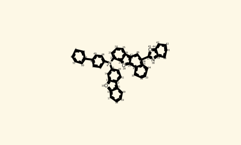 c1ccc(-c2ccc(N(c3ccc4c(c3)oc3ccccc34)c3cccc4c3oc3c5ccccc5c(-c5nc6ccccc6o5)cc43)cc2)cc1